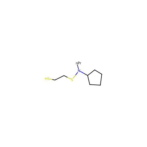 CCCN(SCCS)C1CCCC1